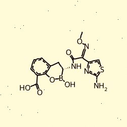 CO/N=C(\C(=O)N[C@H]1Cc2cccc(C(=O)O)c2OB1O)c1csc(N)n1